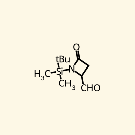 CC(C)(C)[Si](C)(C)N1C(=O)CC1C=O